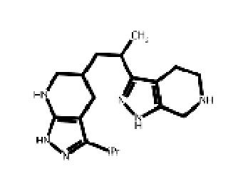 CC(C)c1n[nH]c2c1CC(CC(C)c1n[nH]c3c1CCNC3)CN2